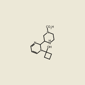 O=C(O)N1CCNC(C2N=CC=CN2C2(O)CCC2)C1